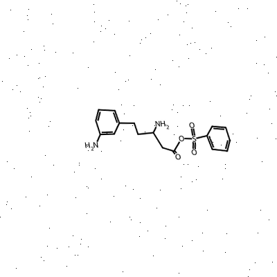 Nc1cccc(CCC(N)CC(=O)OS(=O)(=O)c2ccccc2)c1